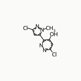 Cn1nc(Cl)cc1-c1nnc(Cl)cc1O